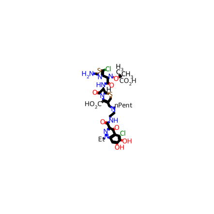 CCCCCN(CCNC(=O)c1nn(CC)c2cc(O)c(O)c(Cl)c2c1=O)CC1=C(C(=O)O)N2C(=O)[C@@H](NC(=O)/C(=N\OC(C)(C)C(=O)O)c3nc(N)sc3Cl)[C@H]2SC1